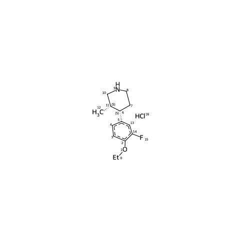 CCOc1ccc([C@H]2CCNC[C@H]2C)cc1F.Cl